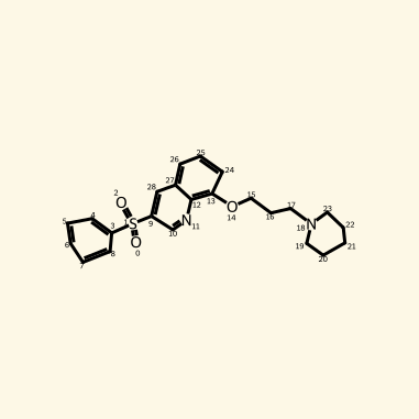 O=S(=O)(c1ccccc1)c1cnc2c(OCCCN3CCCCC3)cccc2c1